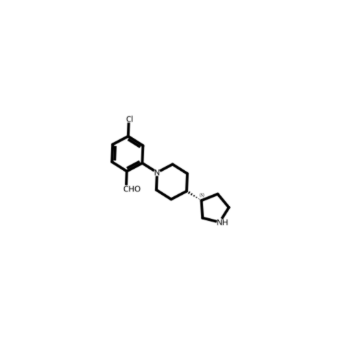 O=Cc1ccc(Cl)cc1N1CCC([C@@H]2CCNC2)CC1